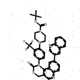 CC(C)(C)OC(=O)N1CCN(c2ccc(N3C(=O)OCc4cnc5ccc(-c6cnc7ccccc7c6)cc5c43)cc2C(F)(F)F)CC1